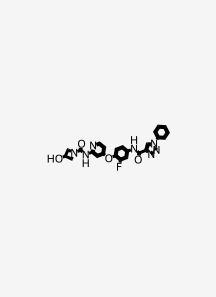 O=C(Nc1ccc(Oc2ccnc(NC(=O)N3CC(O)C3)c2)c(F)c1)c1cn(-c2ccccc2)nn1